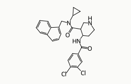 O=C(NC1CCNCC1C(=O)N(Cc1cccc2ccccc12)C1CC1)c1ccc(Cl)c(Cl)c1